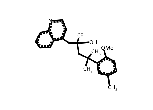 COc1ccc(C)cc1C(C)(C)CC(O)(Cc1ccnc2ccccc12)C(F)(F)F